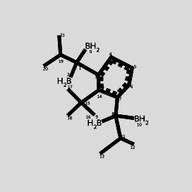 BC(B)(c1cccc(C(B)(B)C(C)C)c1C(C)(C)C)C(C)C